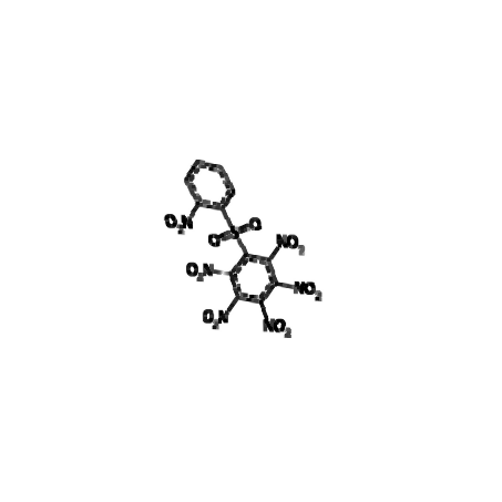 O=[N+]([O-])c1ccccc1S(=O)(=O)c1c([N+](=O)[O-])c([N+](=O)[O-])c([N+](=O)[O-])c([N+](=O)[O-])c1[N+](=O)[O-]